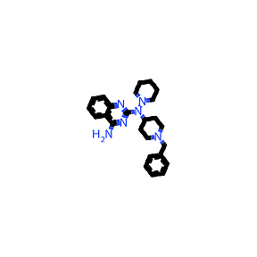 Nc1nc(N(C2CCN(Cc3ccccc3)CC2)N2CCCCC2)nc2ccccc12